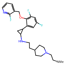 CNCCN1CCC(CCNC2CC2c2cc(F)cc(F)c2OCc2cccnc2F)CC1